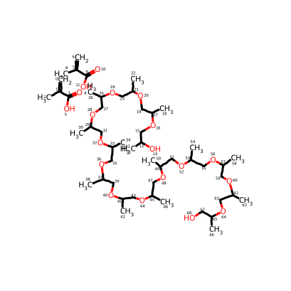 C=C(C)C(=O)O.C=C(C)C(=O)O.CC(O)COC(C)COC(C)COC(C)COC(C)COC(C)COC(C)COC(C)COC(C)COC(C)COC(C)COC(C)COC(C)COC(C)CO